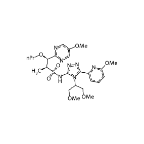 CCCO[C@@H](c1ncc(OC)cn1)[C@H](C)S(=O)(=O)Nc1nnc(-c2cccc(OC)n2)n1C(COC)COC